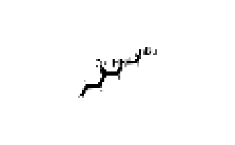 CC=CC(=O)CNCCCCC